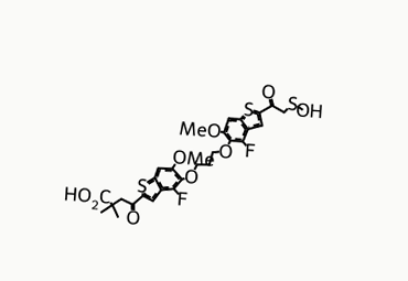 COc1cc2sc(C(=O)CSO)cc2c(F)c1OCCCOc1c(OC)cc2sc(C(=O)CC(C)(C)C(=O)O)cc2c1F